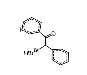 Br.O=C(c1cccnc1)C(Br)c1ccccc1